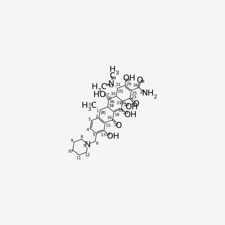 C[C@H]1c2ccc(CN3CCCCC3)c(O)c2C(=O)C2=C(O)[C@]3(O)C(=O)C(C(N)=O)=C(O)[C@@H](N(C)C)C3[C@@H](O)C21